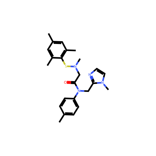 Cc1ccc(N(Cc2nccn2C)C(=O)CN(C)Sc2c(C)cc(C)cc2C)cc1